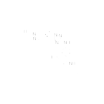 Cc1cc(Nc2nc3n(n2)C=CN(c2cnn(C)c2)C3)ccc1C(=O)NCC1CC1